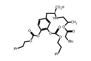 CC(C)CCOC(=O)Oc1ccc(C[C@H](NCC(C)OC(=O)CC(C)(C)C)C(=O)O)cc1OC(=O)OCCC(C)C